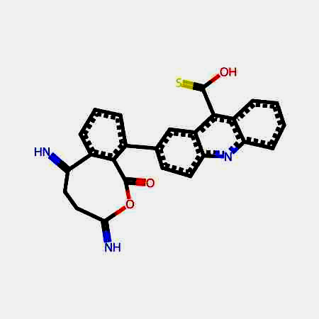 N=C1CCC(=N)c2cccc(-c3ccc4nc5ccccc5c(C(O)=S)c4c3)c2C(=O)O1